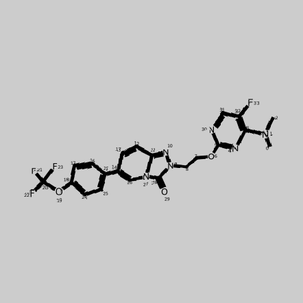 CN(C)c1nc(OCCn2nc3ccc(-c4ccc(OC(F)(F)F)cc4)cn3c2=O)ncc1F